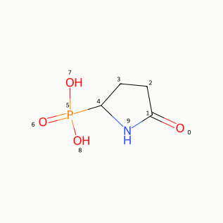 O=C1CCC(P(=O)(O)O)N1